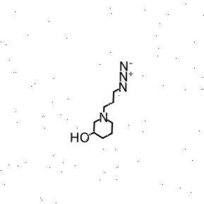 [N-]=[N+]=NCCCN1CCCC(O)C1